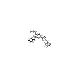 CCC1(C(=O)O)CCC(CC(=O)N2CCc3c(CO)nn(Cc4ccc(F)cc4)c3C2)CC1